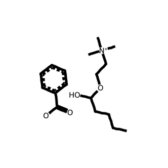 CCCCC(O)OCC[N+](C)(C)C.O=C([O-])c1ccccc1